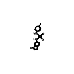 Cc1ccc(Nc2c(Nc3ccc4cc[nH]c4c3)c(=O)c2=O)cc1